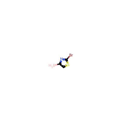 Bc1csc(Br)n1